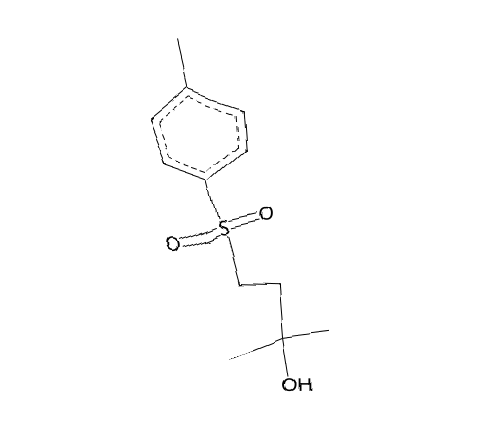 Cc1ccc(S(=O)(=O)CCC(C)(C)O)cc1